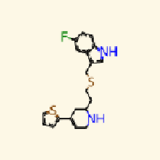 Fc1ccc2[nH]cc(CSCCC3CC(c4cccs4)=CCN3)c2c1